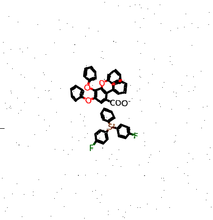 Fc1ccc([S+](c2ccccc2)c2ccc(F)cc2)cc1.O=C([O-])c1cc(Oc2ccccc2)c(Oc2ccccc2)c(Oc2ccccc2)c1-c1ccccc1